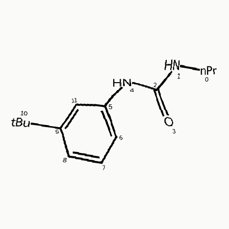 CCCNC(=O)Nc1cccc(C(C)(C)C)c1